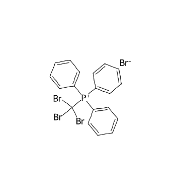 BrC(Br)(Br)[P+](c1ccccc1)(c1ccccc1)c1ccccc1.[Br-]